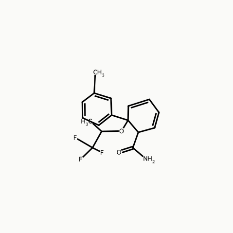 Cc1cccc(C2(OC(C)C(F)(F)F)C=CC=CC2C(N)=O)c1